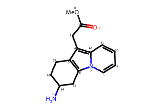 COC(=O)Cc1c2c(n3ccccc13)CC(N)CC2